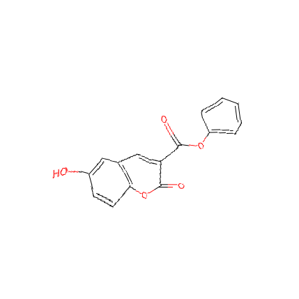 O=C(Oc1ccccc1)c1cc2cc(O)ccc2oc1=O